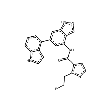 O=C(Nc1cc(-c2cccc3[nH]ccc23)cc2[nH]ncc12)c1ccnn1CCF